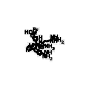 N=C(N)NCCCC(NC(=O)[C@@H](NC(=O)[C@@H](Cc1ccc(C(=N)N)cc1)c1cccnc1)c1ccccc1)C(N)=O.O=C(O)C(F)(F)F